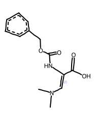 CN(C)/C=C(\NC(=O)OCc1ccccc1)C(=O)O